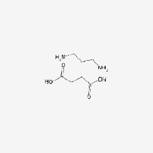 NCCCN.O=C(O)CCC(=O)O